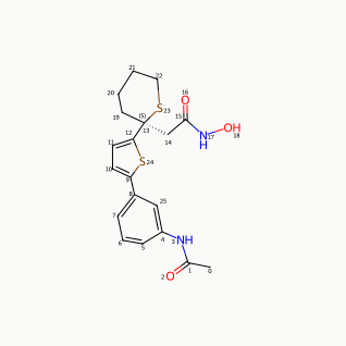 CC(=O)Nc1cccc(-c2ccc([C@@]3(CC(=O)NO)CCCCS3)s2)c1